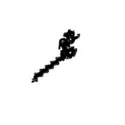 C=C(C)N1CCC[C@H]1c1nc(-c2cn(CCCCCCCCCCC)c3ccccc23)no1